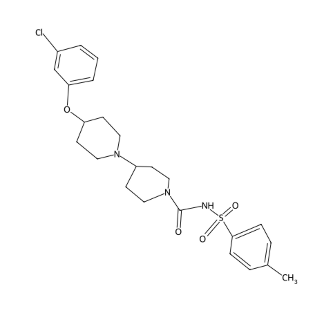 Cc1ccc(S(=O)(=O)NC(=O)N2CCC(N3CCC(Oc4cccc(Cl)c4)CC3)CC2)cc1